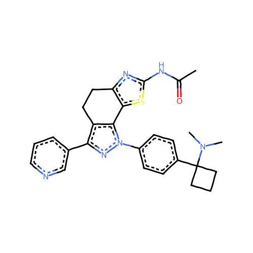 CC(=O)Nc1nc2c(s1)-c1c(c(-c3cccnc3)nn1-c1ccc(C3(N(C)C)CCC3)cc1)CC2